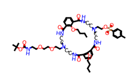 CCCCOc1c2cccc1C(=O)NCCN(CCOS(=O)(=O)c1ccc(C)cc1)CCNC(=O)c1cccc(c1OCCCC)C(=O)NCCN(CCOCCOCCNC(=O)OC(C)(C)C)CCNC2=O